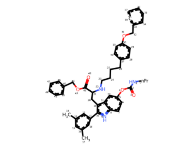 CCCNC(=O)Oc1ccc2[nH]c(-c3cc(C)cc(C)c3)c(CC(NCCCCc3ccc(OCc4ccccc4)cc3)C(=O)OCc3ccccc3)c2c1